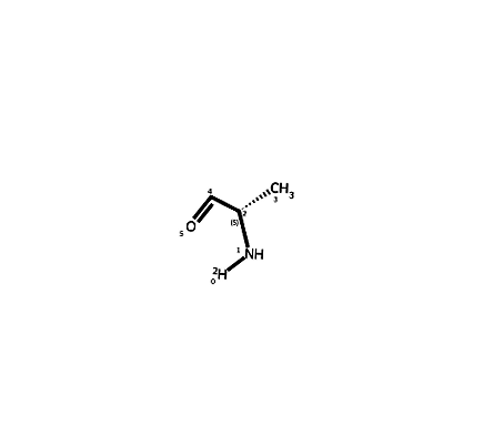 [2H]N[C@@H](C)C=O